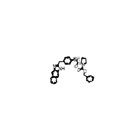 O=C(Nc1ccc(Cc2nc3cc4ccccc4cc3[nH]2)cc1)[C@@H]1CCCN1C(=O)OCc1ccccc1